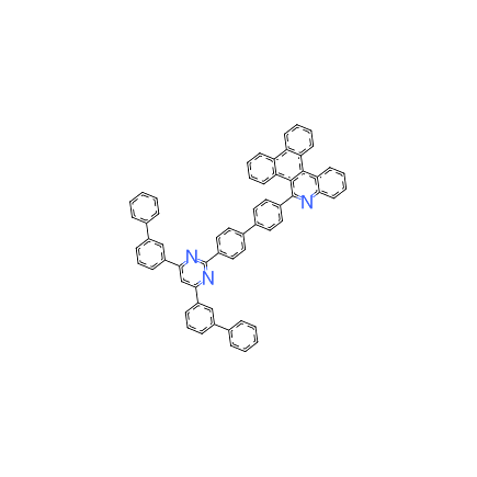 c1ccc(-c2cccc(-c3cc(-c4cccc(-c5ccccc5)c4)nc(-c4ccc(-c5ccc(-c6nc7ccccc7c7c8ccccc8c8ccccc8c67)cc5)cc4)n3)c2)cc1